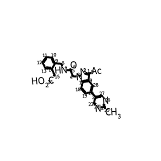 CC(=O)c1nn(CC(=O)NCc2ccccc2CC(=O)O)c2ccc(-c3cnc(C)nc3)cc12